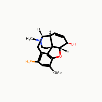 COc1cc(P)c2c3c1O[C@H]1[C@@H](O)C=C[C@H]4[C@@H](C2)N(C)CC[C@@]341